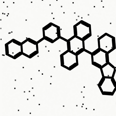 C1=Cc2c(c(-c3c4ccccc4c(-c4cccc(-c5ccc6ccccc6c5)c4)c4ccccc34)cc3c2oc2ccccc23)CC1